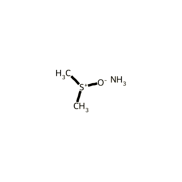 C[S+](C)[O-].N